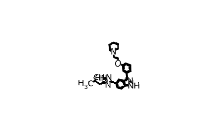 CC(C)Cc1nc(-c2ccc3[nH]nc(-c4cccc(OCCN5CCCCC5)c4)c3c2)n[nH]1